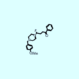 COc1ccc(CN2CCN(C(F)CCC(=O)c3ccccc3)CC2)cc1